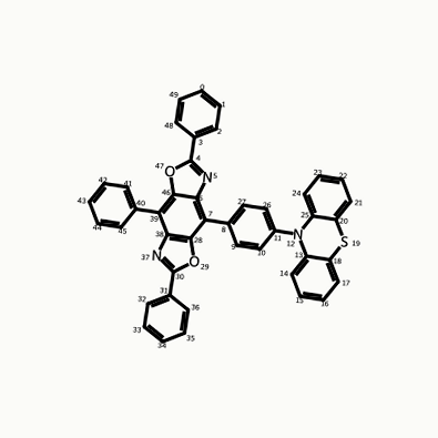 c1ccc(-c2nc3c(-c4ccc(N5c6ccccc6Sc6ccccc65)cc4)c4oc(-c5ccccc5)nc4c(-c4ccccc4)c3o2)cc1